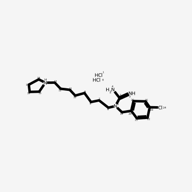 Cl.Cl.N=C(N)N(CCCCCCCCN1CCCC1)Cc1ccc(Cl)cc1